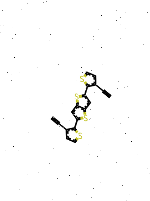 C#Cc1ccsc1-c1cc2sc(-c3sccc3C#C)cc2s1